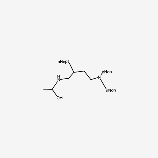 CCCCCCCCCN(CCCCCCCCC)CCC(CCCCCCC)CNC(C)O